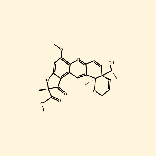 COC(=O)[C@]1(C)Nc2cc(OC)c3nc4c(cc3c2C1=O)[C@@H]1OCC=C[C@]1([C@@H](C)O)C=C4